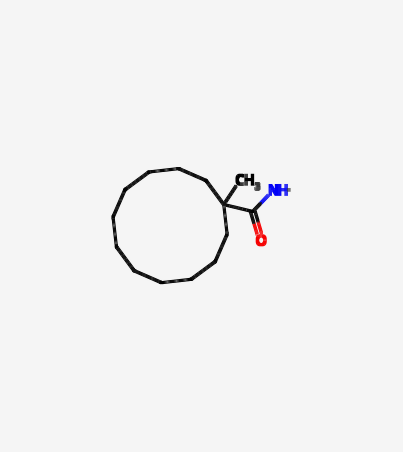 CC1(C([NH])=O)CCCCCCCCCCC1